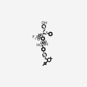 CC1(C)CCC(C23CC(C)(C2)C3)=C(CN2CCN(c3ccc(C(O)NS(=O)(=O)c4ccc(N[C@H](CCN5CCC(O)CC5)CSc5ccccc5)c(S(=O)(=O)C(F)(F)F)c4)cc3)CC2)C1